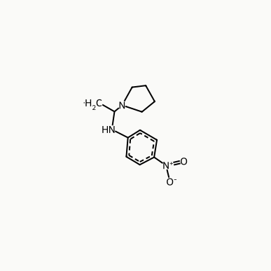 [CH2]C(Nc1ccc([N+](=O)[O-])cc1)N1CCCC1